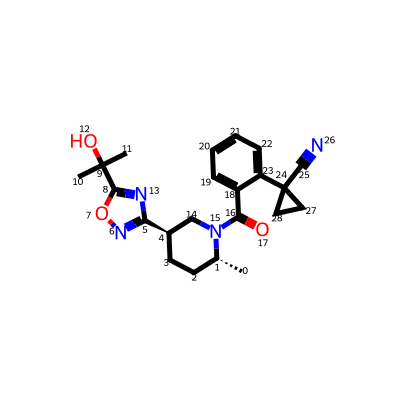 C[C@@H]1CC[C@@H](c2noc(C(C)(C)O)n2)CN1C(=O)c1ccccc1C1(C#N)CC1